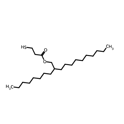 CCCCCCCCCCC(CCCCCCCC)COC(=O)CCS